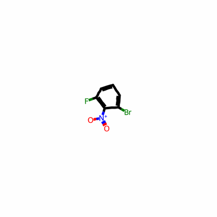 O=[N+]([O-])c1c(F)cccc1Br